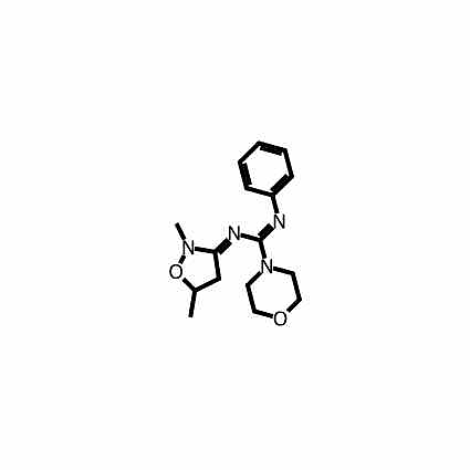 CC1CC(=NC(=Nc2ccccc2)N2CCOCC2)N(C)O1